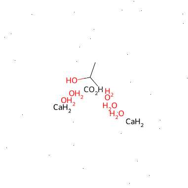 CC(O)C(=O)O.O.O.O.O.O.[CaH2].[CaH2]